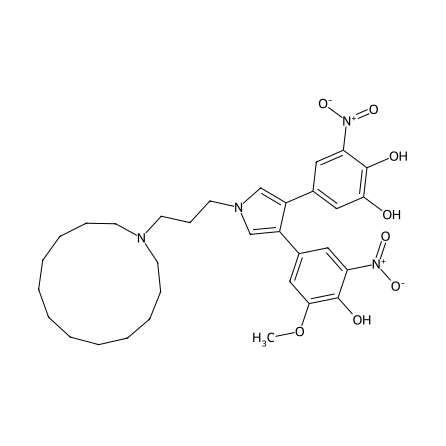 COc1cc(-c2cn(CCCN3CCCCCCCCCCCC3)cc2-c2cc(O)c(O)c([N+](=O)[O-])c2)cc([N+](=O)[O-])c1O